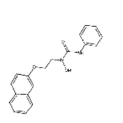 O=C(Nc1ccccc1)N(O)CCOc1ccc2ccccc2c1